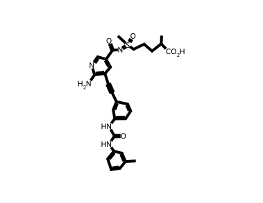 Cc1cccc(NC(=O)Nc2cccc(C#Cc3cc(C(=O)N=S(C)(=O)CCCC(C)C(=O)O)cnc3N)c2)c1